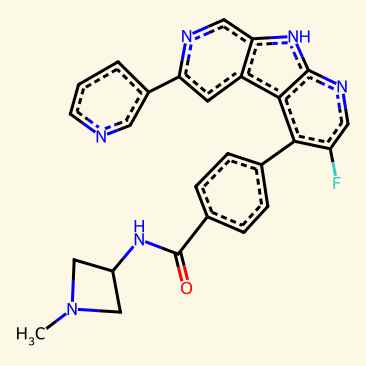 CN1CC(NC(=O)c2ccc(-c3c(F)cnc4[nH]c5cnc(-c6cccnc6)cc5c34)cc2)C1